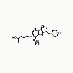 Br.Br.Cn1c(CCC2CCNCC2)nc2c1N=CN(CCCCC(=O)O)C2O